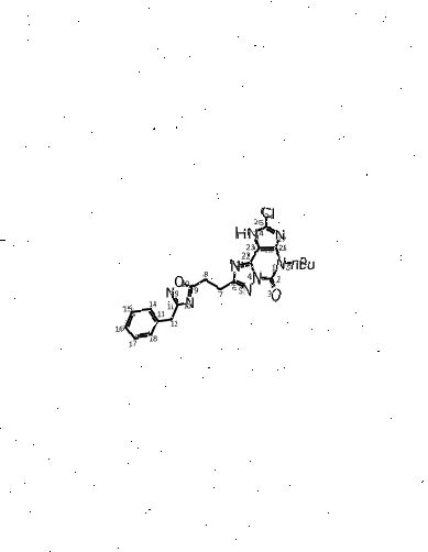 CCCCn1c(=O)n2nc(CCc3nc(Cc4ccccc4)no3)nc2c2[nH]c(Cl)nc21